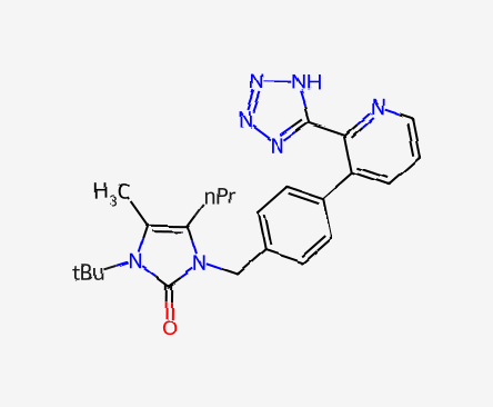 CCCc1c(C)n(C(C)(C)C)c(=O)n1Cc1ccc(-c2cccnc2-c2nnn[nH]2)cc1